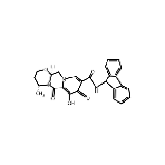 C[C@@H]1CCO[C@H]2Cn3cc(C(=O)NC4c5ccccc5-c5ccccc54)c(=O)c(O)c3C(=O)N12